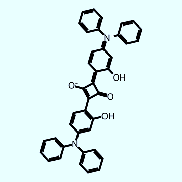 O=C1C(c2ccc(N(c3ccccc3)c3ccccc3)cc2O)=C([O-])/C1=C1\C=CC(=[N+](c2ccccc2)c2ccccc2)C=C1O